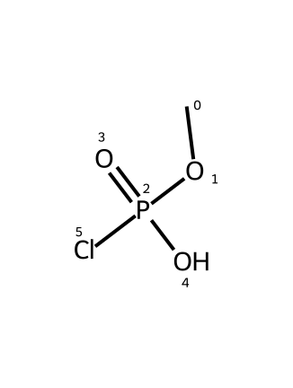 COP(=O)(O)Cl